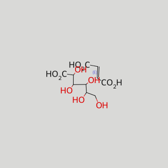 O=C(O)/C=C/C(=O)O.O=C(O)C(O)C(O)C(O)C(O)CO